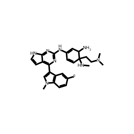 CNC1(CCN(C)C)C=CC(Nc2nc(-c3cn(C)c4ccc(F)cc34)c3cc[nH]c3n2)=CC1N